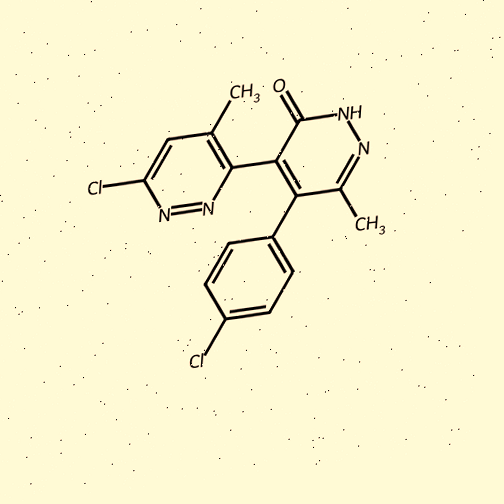 Cc1cc(Cl)nnc1-c1c(-c2ccc(Cl)cc2)c(C)n[nH]c1=O